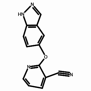 N#Cc1cccnc1Oc1ccc2[nH]ncc2c1